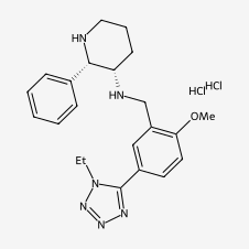 CCn1nnnc1-c1ccc(OC)c(CN[C@H]2CCCN[C@H]2c2ccccc2)c1.Cl.Cl